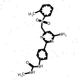 CNC(=O)Nc1ccc(-c2nc(N)cc(CS(=O)(=O)c3ccccc3C)n2)cc1